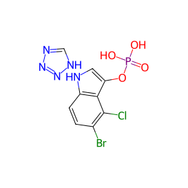 O=P(O)(O)Oc1c[nH]c2ccc(Br)c(Cl)c12.c1nnn[nH]1